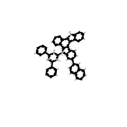 c1ccc(-c2nc(-c3ccccc3)nc(-n3c4cc(-c5ccc6ccccc6c5)ccc4c4c5c6ccccc6sc5c5ccccc5c43)n2)cc1